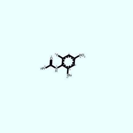 CCCC(=O)Nc1c(F)cc([N+](=O)[O-])cc1C(C)(C)C